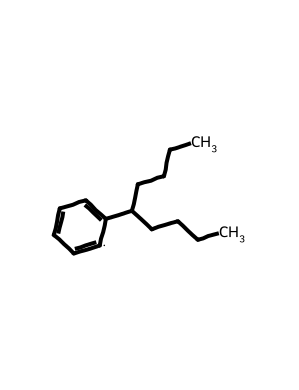 CCCCC(CCCC)c1[c]cccc1